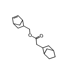 O=C(CC1CC2CCC1C2)OCC1CC2C=CC1C2